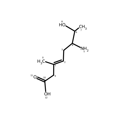 C/C(=C\CC(N)C(C)O)CC(=O)O